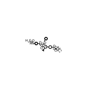 COC(=O)Nc1ccc(C(=O)COC(=O)C2C(C3CC3)CC(C3CCC(C(=O)OC(C)(C)C)CC3)CN2C(=O)OCc2ccccc2)cc1